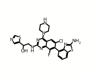 Nc1nc2c(-c3c(Cl)cc4c(N5CCNCC5)nc(NCC(O)c5cncs5)nc4c3F)cccc2s1